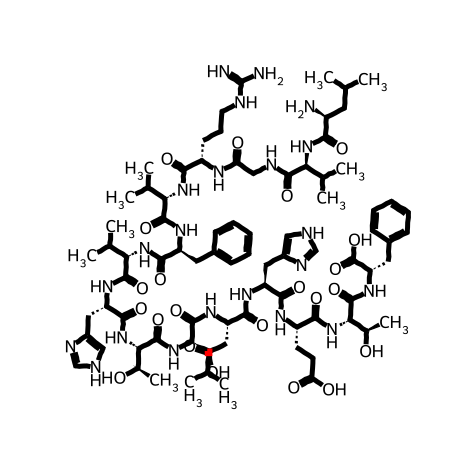 CC(C)C[C@H](NC(=O)[C@@H](NC(=O)[C@H](Cc1c[nH]cn1)NC(=O)[C@@H](NC(=O)[C@H](Cc1ccccc1)NC(=O)[C@@H](NC(=O)[C@H](CCCNC(=N)N)NC(=O)CNC(=O)[C@@H](NC(=O)[C@@H](N)CC(C)C)C(C)C)C(C)C)C(C)C)[C@@H](C)O)C(=O)N[C@@H](CC(=O)O)C(=O)N[C@@H](Cc1c[nH]cn1)C(=O)N[C@@H](CCC(=O)O)C(=O)N[C@H](C(=O)N[C@@H](Cc1ccccc1)C(=O)O)[C@@H](C)O